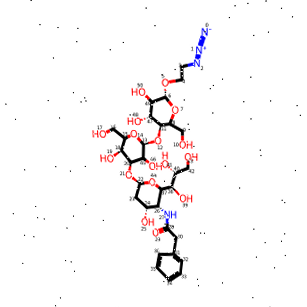 [N-]=[N+]=NCCO[C@@H]1OC(CO)[C@@H](O[C@@H]2OC(CO)[C@H](O)[C@H](O[C@@H]3C[C@@H](O)[C@@H](NC(=O)Cc4ccccc4)C([C@H](O)[C@H](O)CO)O3)C2O)[C@H](O)C1O